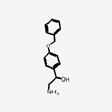 NCC(O)c1ccc(OCc2ccccc2)cc1